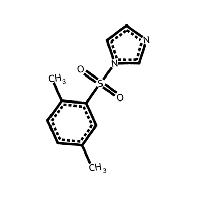 Cc1ccc(C)c(S(=O)(=O)n2ccnc2)c1